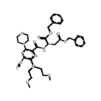 [C-]#[N+]c1nc(N2CCOCC2)c(C(=O)N[C@H](CC(=O)OCc2ccccc2)C(=O)OCc2ccccc2)nc1N(CCOC)CCOC